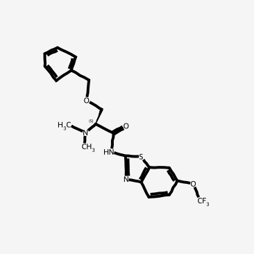 CN(C)[C@@H](COCc1ccccc1)C(=O)Nc1nc2ccc(OC(F)(F)F)cc2s1